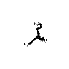 CC/C=C\C/C=C\C/C=C\C/C=C\CCCCC(=O)OC[C@H](COP(=O)(O)OC[C@H](N)C(=O)O)OC(=O)CCCCCCCCCCCCC